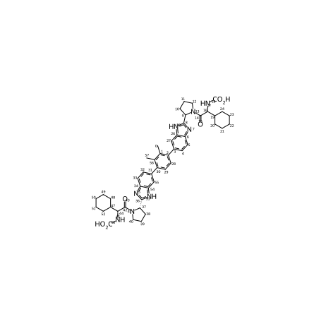 Cc1c(-c2ccc3nc(C4CCCN4C(=O)C(NC(=O)O)C4CCCCC4)[nH]c3c2)ccc(-c2ccc3nc([C@@H]4CCCN4C(=O)[C@@H](NC(=O)O)C4CCCCC4)[nH]c3c2)c1C